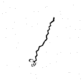 CCCCCCCCCCCCCCCCCCC(=O)[O-].[Li+]